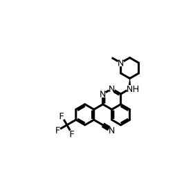 CN1CCC[C@@H](Nc2nnc(-c3ccc(C(F)(F)F)cc3C#N)c3ccccc23)C1